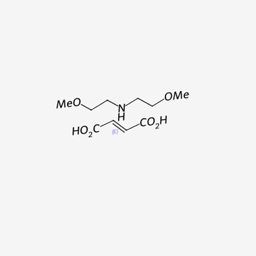 COCCNCCOC.O=C(O)/C=C/C(=O)O